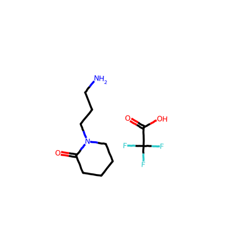 NCCCN1CCCCC1=O.O=C(O)C(F)(F)F